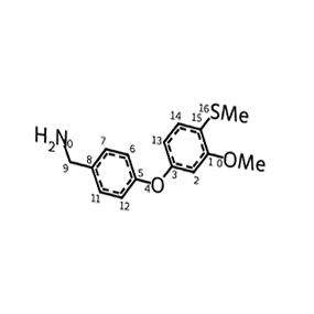 COc1cc(Oc2ccc(CN)cc2)ccc1SC